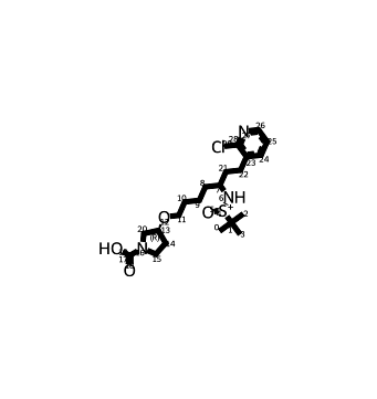 CC(C)(C)[S+]([O-])NC(CCCCO[C@@H]1CCN(C(=O)O)C1)CCc1cccnc1Cl